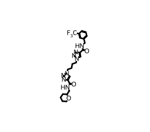 O=C(NCc1cccc(C(F)(F)F)c1)c1cn(CCCCn2cc(C(=O)NCC3CCCCO3)nn2)nn1